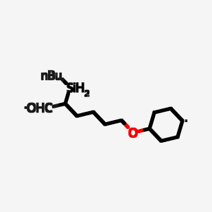 CCCC[SiH2]C([C]=O)CCCCOC1CC[CH]CC1